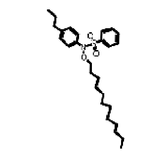 [CH2]CCc1ccc(N(OCCCCCCCCCCCC)S(=O)(=O)c2ccccc2)cc1